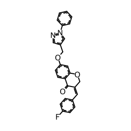 O=C1C(=Cc2ccc(F)cc2)COc2cc(OCc3cnn(-c4ccccc4)c3)ccc21